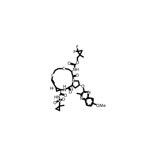 COc1ccc2nc(C)c(O[C@@H]3C[C@H]4C(=O)N[C@]5(C(=O)NS(=O)(=O)C6(C)CC6)C[C@H]5/C=C\CCCCC[C@H](NC(=O)OCC5(C)CC5(F)F)C(=O)N4C3)nc2c1